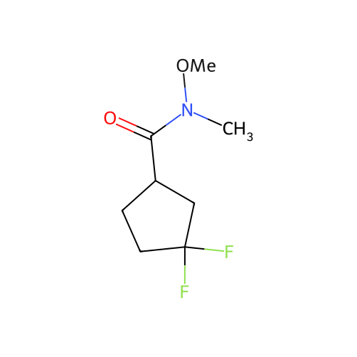 CON(C)C(=O)C1CCC(F)(F)C1